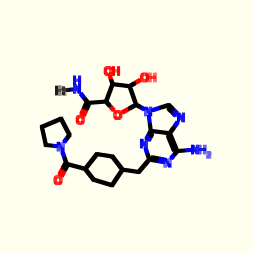 CCNC(=O)C1OC(n2cnc3c(N)nc(CC4CCC(C(=O)N5CCCC5)CC4)nc32)C(O)C1O